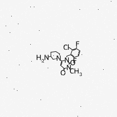 Cn1c(=O)cc(N2CCCC(N)C2)n(Cc2c(F)ccc(F)c2Cl)c1=O